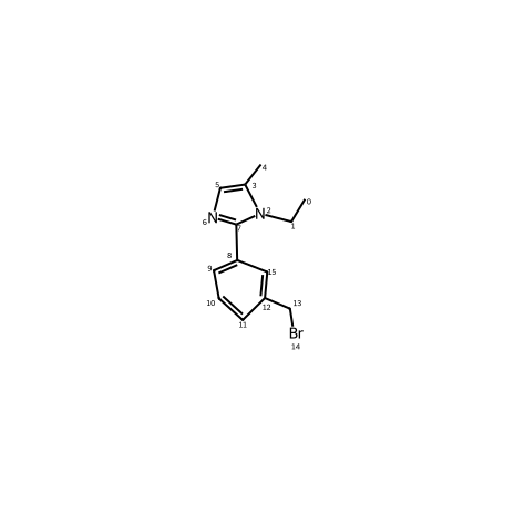 CCn1c(C)cnc1-c1cccc(CBr)c1